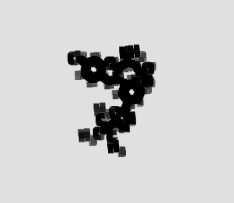 CC(C)(C)c1nnc(-c2ccc3c(c2)N(Cc2ccc(Cl)cc2)C(=O)[C@@H](N)CS3(=O)=O)o1